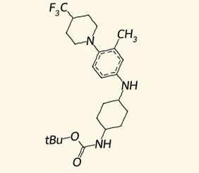 Cc1cc(NC2CCC(NC(=O)OC(C)(C)C)CC2)ccc1N1CCC(C(F)(F)F)CC1